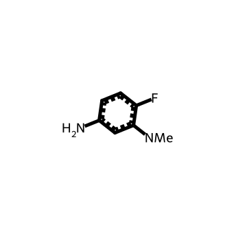 CNc1cc(N)ccc1F